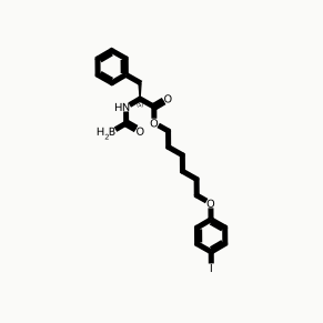 BC(=O)N[C@@H](Cc1ccccc1)C(=O)OCCCCCCOc1ccc(I)cc1